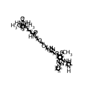 COc1cc2c(N[C@@H]3CCNC3)nc(N3CCCC3)nc2cc1OCc1cn(CCOCCOCCNC(=O)CCCC[C@@H]2SC[C@]3(C)NC(=O)N[C@]23C)nn1